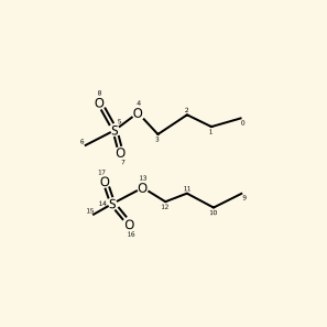 CCCCOS(C)(=O)=O.CCCCOS(C)(=O)=O